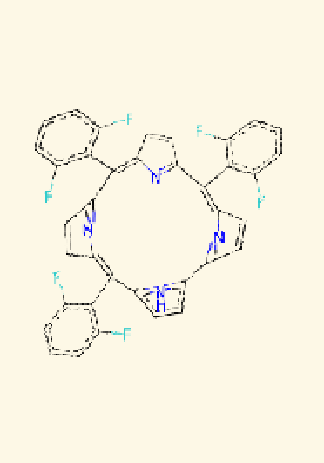 Fc1cccc(F)c1C1=C2C=CC(=N2)C(c2c(F)cccc2F)=C2C=CC(=N2)c2ccc([nH]2)C(c2c(F)cccc2F)=C2C=CC1=N2